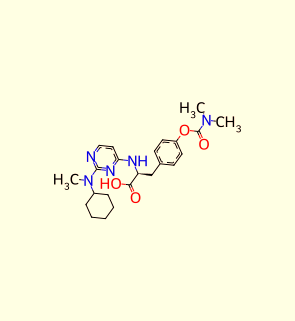 CN(C)C(=O)Oc1ccc(C[C@H](Nc2ccnc(N(C)C3CCCCC3)n2)C(=O)O)cc1